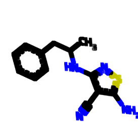 CC(Cc1ccccc1)Nc1nsc(N)c1C#N